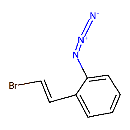 [N-]=[N+]=Nc1ccccc1C=CBr